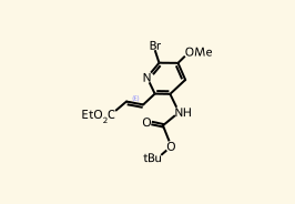 CCOC(=O)/C=C/c1nc(Br)c(OC)cc1NC(=O)OC(C)(C)C